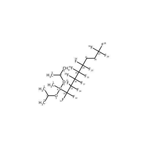 CC(C)O[Si](C)(OC(C)C)C(F)(F)C(F)(F)C(F)(F)C(F)(F)C(F)(F)CCC(F)(F)F